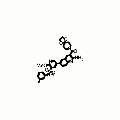 COc1ncc(-c2ccc3nc(N)c(C(=O)N4CCC5(CC4)OCCO5)cc3c2)cc1S(=O)(=O)Nc1cccc(C)c1